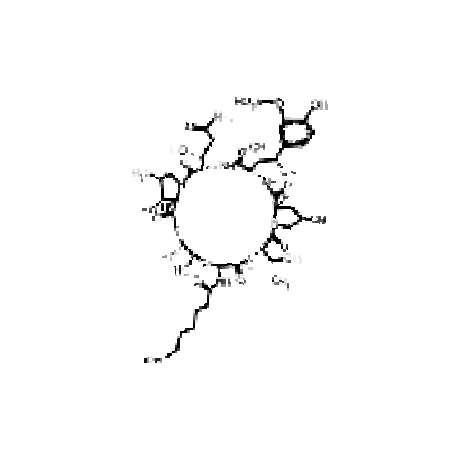 CCCCCCCCCCCCCCCC(=O)N[C@H]1C[C@@H](O)[C@H](O)NC(=O)[C@@H]2[C@@H](O)[C@@H](C)CN2C(=O)[C@H]([C@H](O)CC(N)=O)NC(=O)[C@H]([C@H](O)[C@@H](O)c2ccc(O)c(OS(=O)(=O)O)c2)NC(=O)[C@@H]2C[C@@H](O)CN2C(=O)[C@H]([C@@H](C)O)NC1=O